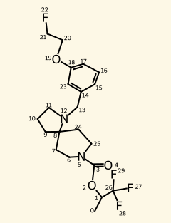 CC(OC(=O)N1CCC2(CCCN2Cc2cccc(OCCF)c2)CC1)C(F)(F)F